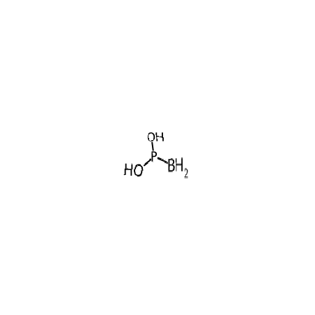 BP(O)O